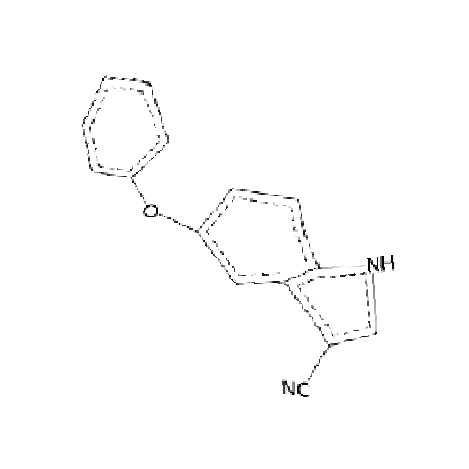 N#Cc1c[nH]c2ccc(Oc3ccccc3)cc12